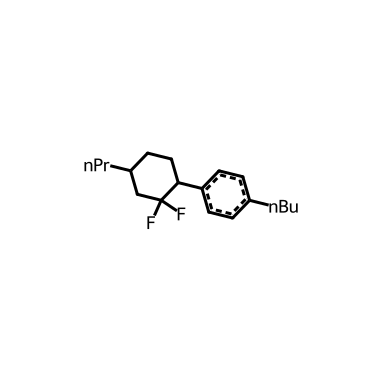 CCCCc1ccc(C2CCC(CCC)CC2(F)F)cc1